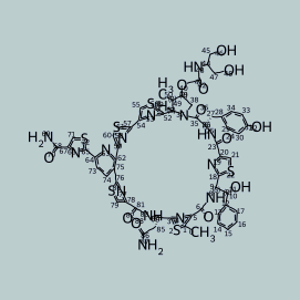 Cc1sc2nc1C(=O)N[C@@H]([C@H](O)c1ccccc1)c1nc(cs1)C(=O)N[C@@H](Cc1ccc(O)cc1)C(=O)N1C[C@H](OC(=O)NC(CO)CO)[C@H](C)[C@H]1c1nc(cs1)-c1nc(cs1)-c1nc(-c3nc(C(N)=O)cs3)ccc1-c1nc(cs1)C(=O)N[C@H]2CC(N)=O